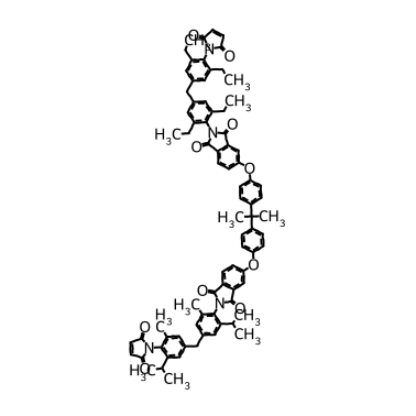 CCc1cc(Cc2cc(CC)c(N3C(=O)c4ccc(Oc5ccc(C(C)(C)c6ccc(Oc7ccc8c(c7)C(=O)N(c7c(C)cc(Cc9cc(C)c(N%10C(=O)C=CC%10=O)c(C(C)C)c9)cc7C(C)C)C8=O)cc6)cc5)cc4C3=O)c(CC)c2)cc(CC)c1N1C(=O)C=CC1=O